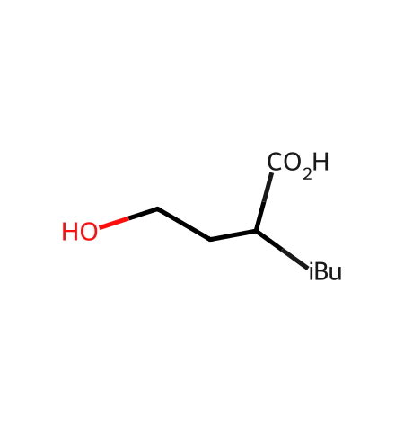 CCC(C)C(CCO)C(=O)O